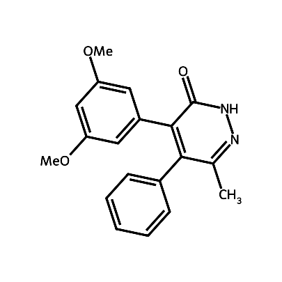 COc1cc(OC)cc(-c2c(-c3ccccc3)c(C)n[nH]c2=O)c1